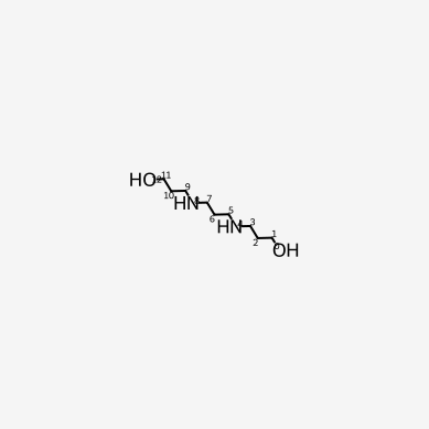 OCCCNCCCNCCCO